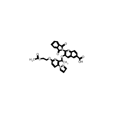 CC(=O)OCCOc1ccc(-n2cccn2)c(C(C)Oc2cc3cc(C(=O)O)ccc3nc2N2C(=O)c3ccccc3C2=O)n1